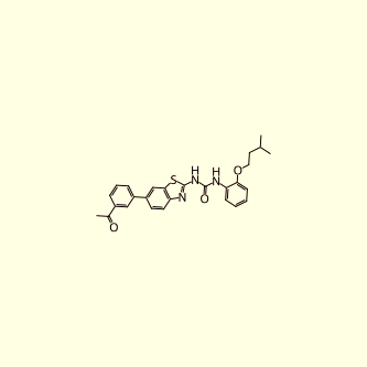 CC(=O)c1cccc(-c2ccc3nc(NC(=O)Nc4ccccc4OCCC(C)C)sc3c2)c1